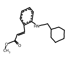 COC(=O)C=Cc1ccccc1NCC1CCCCC1